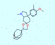 COc1ccc(C23CCN(C)C2CC2(CC3)OCC(C34CC5CCC(CC(C5)C3)C4)O2)cc1C